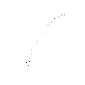 CC1C(/C=C/c2ccc(N)cc2)=CC=[N+]1CC(=O)NCCSSCCNC(=O)C[n+]1ccc(/C=C/c2ccc(N(C)C)cc2)cc1